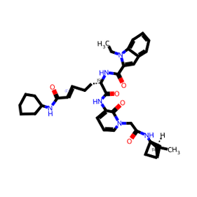 CCn1c(C(=O)N[C@@H](CC/C=C/C(=O)NC2CCCCC2)C(=O)Nc2cccn(CC(=O)NC34CC(C3)[C@@H]4C)c2=O)cc2ccccc21